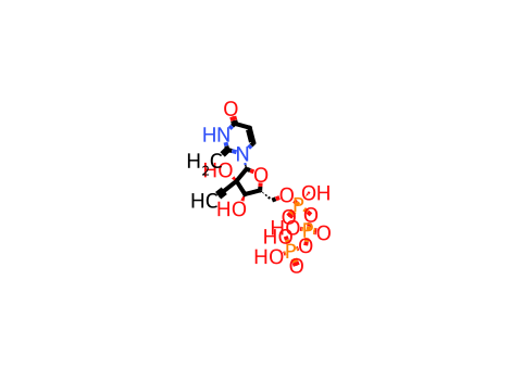 C#C[C@@]1(O)[C@H](O)[C@@H](CO[P@@](=O)(O)OP(=O)(O)OP(=O)(O)O)O[C@H]1N1C=CC(=O)NC1=C